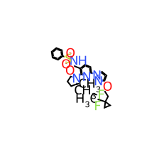 CC1(C)CCCN1c1nc(-n2ccc(OCCC3(C(C)(F)F)CC3)n2)ccc1C(=O)NS(=O)(=O)c1ccccc1